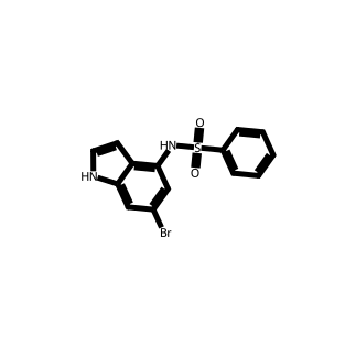 O=S(=O)(Nc1cc(Br)cc2[nH]ccc12)c1ccccc1